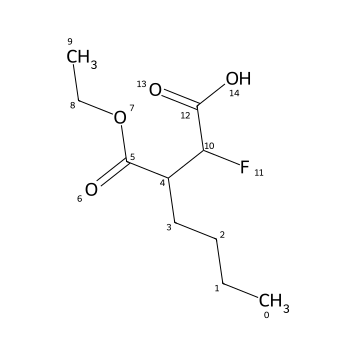 CCCCC(C(=O)OCC)C(F)C(=O)O